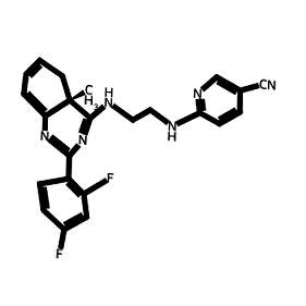 C[C@]12CC=CC=C1N=C(c1ccc(F)cc1F)N=C2NCCNc1ccc(C#N)cn1